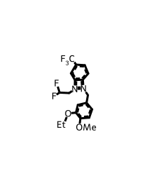 CCOc1cc(Cn2c3ccc(C(F)(F)F)cc3n2CC(F)F)ccc1OC